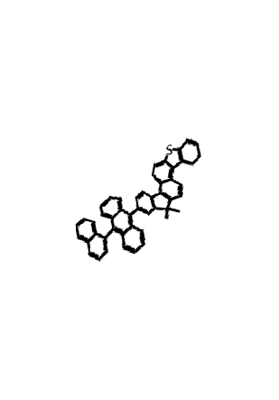 CC1(C)c2cc(-c3c4ccccc4c(-c4cccc5ccccc45)c4ccccc34)ccc2-c2c1ccc1c2ccc2sc3c(c21)CCC=C3